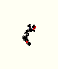 C=C(COc1c(Cl)cc(/C(OC)=C2/C=C3CC(C)CC2C3)cc1/C=C/C(=O)OC)C(=O)N1CCCC(n2nc(-c3ccc(Oc4ccccc4)cc3)c3c(N)ncnc32)C1